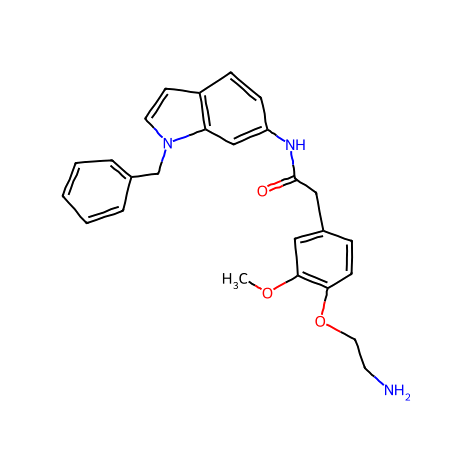 COc1cc(CC(=O)Nc2ccc3ccn(Cc4ccccc4)c3c2)ccc1OCCN